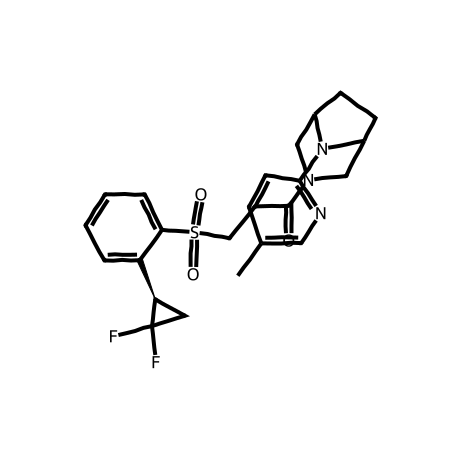 Cc1ccc(N2C3CCC2CN(C(=O)CCS(=O)(=O)c2ccccc2[C@H]2CC2(F)F)C3)nc1